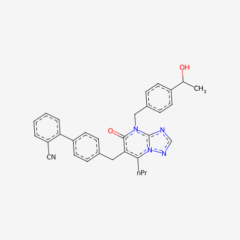 CCCc1c(Cc2ccc(-c3ccccc3C#N)cc2)c(=O)n(Cc2ccc(C(C)O)cc2)c2ncnn12